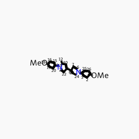 COc1ccc(N2C=CC(C3=CC(C)N(c4ccc(OC)cc4)C=C3)=CC2)cc1